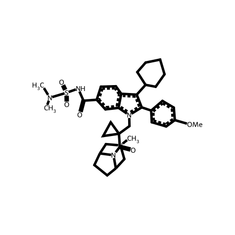 COc1ccc(-c2c(C3CCCCC3)c3ccc(C(=O)NS(=O)(=O)N(C)C)cc3n2CC2(C(=O)N3C4CCC3CN(C)C4)CC2)cc1